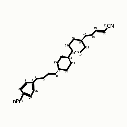 CCCc1ccc(CCCC[C@H]2CC[C@H]([C@H]3CC[C@H](CCC=CC#N)CC3)CC2)cc1